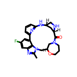 Cc1nc2cc(F)cc3c2n1C[C@@H]1CN(CCCO1)C(=O)[C@@H]1C[C@@H](CN1)Nc1cccc-3n1